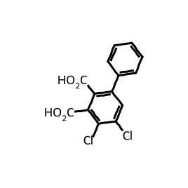 O=C(O)c1c(-c2ccccc2)cc(Cl)c(Cl)c1C(=O)O